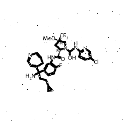 CO[C@]1(C(F)(F)F)C[C@H](C(=O)Nc2cc(C(N)(CCC3CC3)C3=CC=NC=CC3)ccc2F)N(C(O)Nc2ccc(Cl)cn2)C1